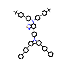 CC(C)(C)c1ccc(-c2ccc(N(c3ccc(-c4ccc(C(C)(C)C)cc4)cc3)c3ccc(-c4ccc(-n5c6ccc(-c7ccc(-c8ccccc8)cc7)cc6c6cc(-c7ccc(-c8ccccc8)cc7)ccc65)cc4)c4nsnc34)cc2)cc1